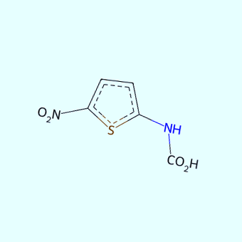 O=C(O)Nc1ccc([N+](=O)[O-])s1